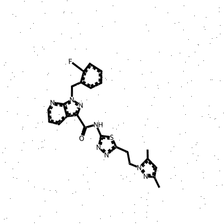 Cc1cc(C)n(CCc2nnc(NC(=O)c3nn(Cc4ccccc4F)c4ncccc34)s2)n1